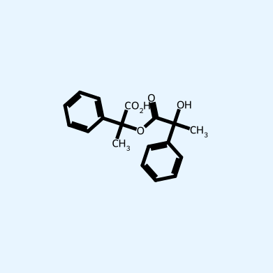 CC(O)(C(=O)OC(C)(C(=O)O)c1ccccc1)c1ccccc1